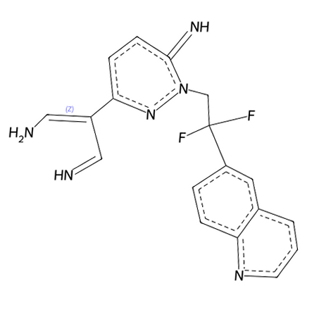 N=C/C(=C\N)c1ccc(=N)n(CC(F)(F)c2ccc3ncccc3c2)n1